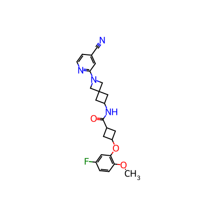 COc1ccc(F)cc1OC1CC(C(=O)NC2CC3(C2)CN(c2cc(C#N)ccn2)C3)C1